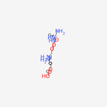 C=C(NC(CCCCN)C(=O)NCCOCCOCCCCCN(N)/C=C(\N)c1ccc(CCOC2CCCC(CO)O2)cc1)C1CCCC1